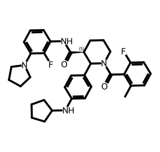 Cc1cccc(F)c1C(=O)N1CCC[C@H](C(=O)Nc2cccc(N3CCCC3)c2F)C1c1ccc(NC2CCCC2)cc1